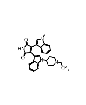 Cn1cc(C2=C(c3cn(C4CCN(CC(F)(F)F)CC4)c4ccccc34)C(=O)NC2=O)c2ccccc21